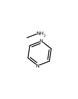 CN.c1cnccn1